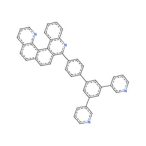 c1cncc(-c2cc(-c3ccc(-c4nc5ccccc5c5c4ccc4ccc6cccnc6c45)cc3)cc(-c3cccnc3)c2)c1